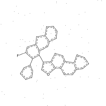 Fc1cc2cc3ccccc3cc2c(-c2coc3c2ccc2c4ccccc4ccc23)c1-c1ccccc1